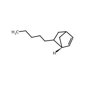 CCCCCC1CC2C=C[C@H]1C2